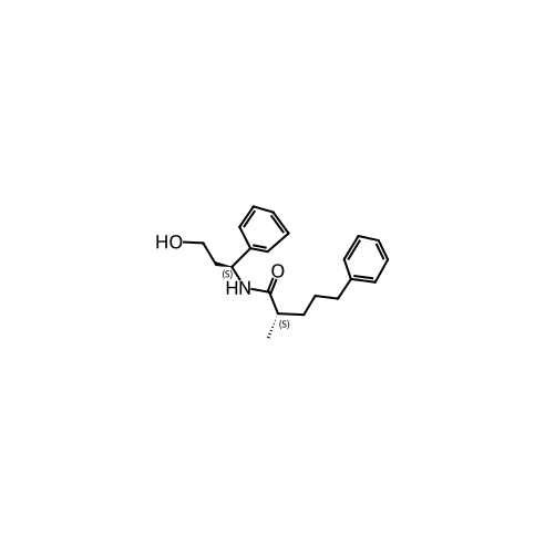 C[C@@H](CCCc1ccccc1)C(=O)N[C@@H](CCO)c1ccccc1